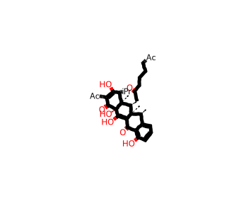 CC(=O)CCCCC(=O)C[C@@H]1[C@]2(C)C(=C(O)[C@@]3(O)C(=O)C(C(C)=O)=C(O)C(C(C)C)[C@@]13C)C(=O)c1c(O)cccc1[C@H]2C